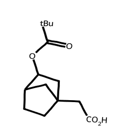 CC(C)(C)C(=O)OC1CC2(CC(=O)O)CCC1C2